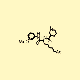 COc1cccc(NC(=O)[C@H](CCCCCC(C)=O)NC(=O)C2CCCN(C)C2)c1